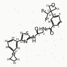 O=C(CNC(=O)c1cccc(C2(C(F)F)COC2)c1)Nc1nc(-c2cccc(N3CCC3)c2)cs1